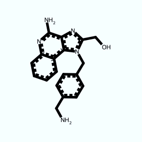 NCc1ccc(Cn2c(CO)nc3c(N)nc4ccccc4c32)cc1